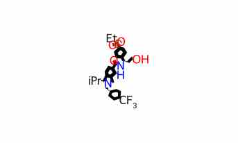 CCS(=O)(=O)c1ccc([C@H](CCO)NC(=O)c2ccc3c(c2)CN(C[C@H]2CC[C@H](C(F)(F)F)CC2)[C@H]3C(C)C)cc1